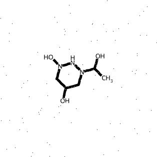 CC(O)N1CC(O)CN(O)N1